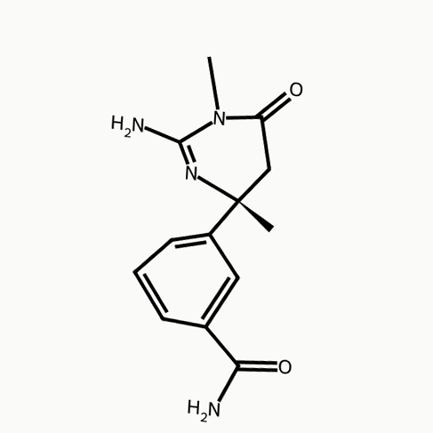 CN1C(=O)C[C@](C)(c2cccc(C(N)=O)c2)N=C1N